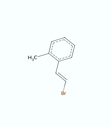 Cc1ccccc1C=CBr